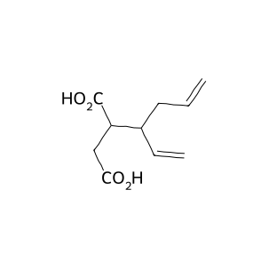 C=CCC(C=C)C(CC(=O)O)C(=O)O